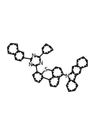 c1ccc(-c2nc(-c3ccc4ccccc4c3)nc(-c3cccc4c3Sc3ccc(-n5c6ccccc6c6cc7ccccc7cc65)c5cccc-4c35)n2)cc1